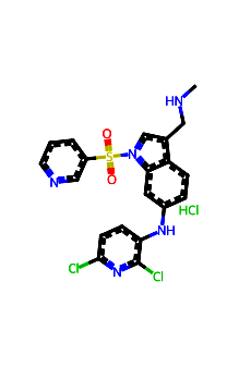 CNCc1cn(S(=O)(=O)c2cccnc2)c2cc(Nc3ccc(Cl)nc3Cl)ccc12.Cl